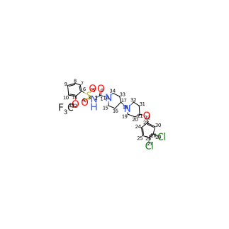 O=C(NS(=O)(=O)c1ccccc1OC(F)(F)F)N1CCC(N2CCC(Oc3ccc(Cl)c(Cl)c3)CC2)CC1